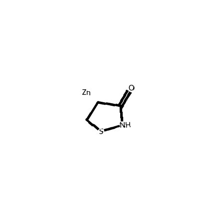 O=C1CCSN1.[Zn]